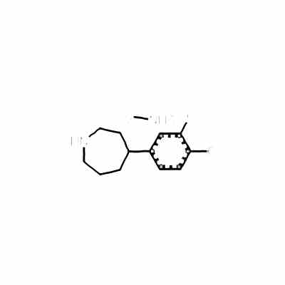 CC(=O)NC[C@H]1CNCCCC1c1ccc(F)c(Cl)c1